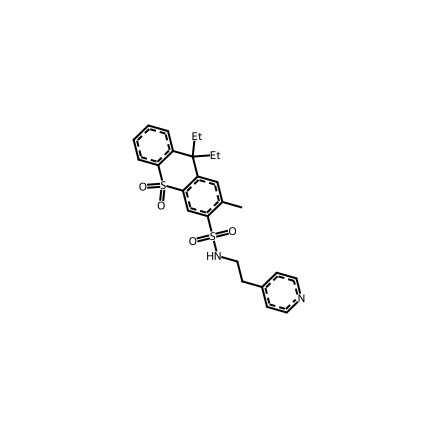 CCC1(CC)c2ccccc2S(=O)(=O)c2cc(S(=O)(=O)NCCc3ccncc3)c(C)cc21